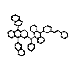 C1=CC(/C=C/c2ccccc2)CC(c2c3c(c(N(C4=Cc5c(c(-c6ccc7ccccc7c6)c6ccccc6c5-c5ccc6ccccc6c5)CC4)c4ccccc4)c4ccccc24)CCC=C3)=C1